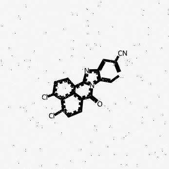 C=C(C#N)/C=c1/nc2c3ccc(Cl)c4c(Cl)ccc(c(=O)n2/c1=C/C)c43